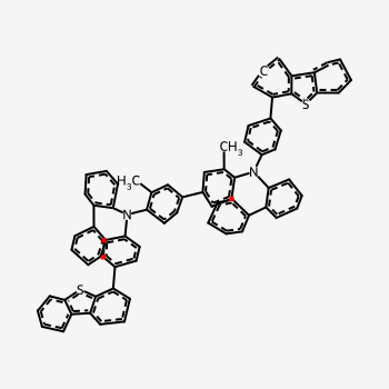 Cc1cc(-c2ccc(N(c3ccc(-c4cccc5c4sc4ccccc45)cc3)c3ccccc3-c3ccccc3)c(C)c2)ccc1N(c1ccc(-c2cccc3c2sc2ccccc23)cc1)c1ccccc1-c1ccccc1